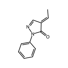 C/C=C1\C=NN(c2ccccc2)C1=O